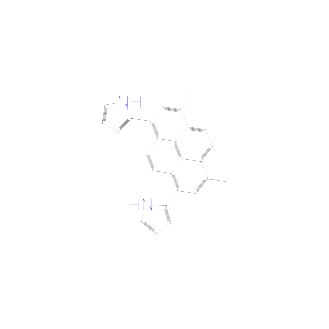 Cc1cc(-c2ccc[nH]2)c2ccc3c(-c4ccc[nH]4)cc(C)c4ccc1c2c43